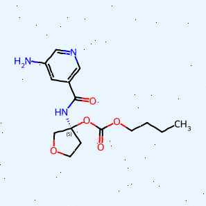 CCCCOC(=O)O[C@@]1(NC(=O)c2cncc(N)c2)CCOC1